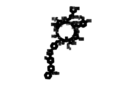 COC1(C2CCCCC2)CCN(c2ccc(-c3nnc(N4CCC(CN[C@H]5C[C@@H](O)CNC(=O)[C@@H]6[C@@H](O)[C@@H](C)CN6C(=O)[C@H]([C@H](O)CCNC(CO)CO)NC(=O)[C@H]([C@H](O)Cc6ccc(O)c(OS(=O)(=O)O)c6)NC(=O)[C@@H]6C[C@@H](O)CN6C(=O)[C@H]([C@@H](C)O)NC5=O)CC4)s3)c(F)c2)CC1